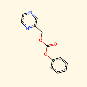 O=C(OCc1cnccn1)Oc1ccccc1